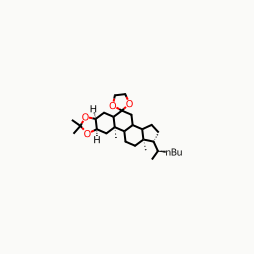 CCCC[C@@H](C)[C@H]1CCC2C3CC4(OCCO4)C4C[C@@H]5OC(C)(C)O[C@@H]5C[C@]4(C)C3CC[C@@]21C